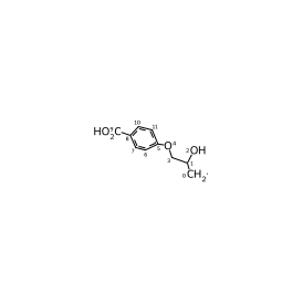 [CH2]C(O)COc1ccc(C(=O)O)cc1